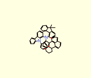 CC1(C)c2ccccc2-c2c(N(c3ccccc3-c3cccc4cccc(C5CCCCC5)c34)c3cccc4c5ccccc5n(-c5ccccc5)c34)cccc21